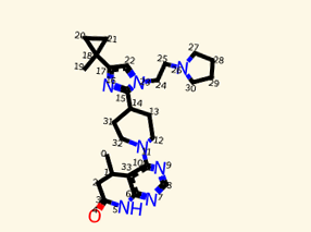 CC1CC(=O)Nc2ncnc(N3CCC(c4nc(C5(C)CC5)cn4CCN4CCCC4)CC3)c21